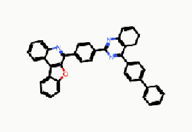 C1=Cc2nc(-c3ccc(-c4nc5ccccc5c5c4oc4ccccc45)cc3)nc(-c3ccc(-c4ccccc4)cc3)c2CC1